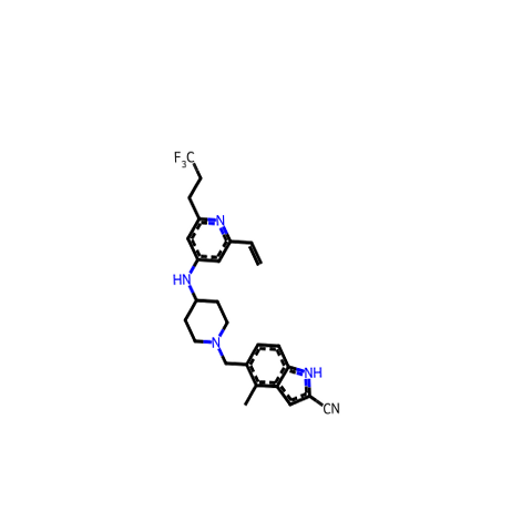 C=Cc1cc(NC2CCN(Cc3ccc4[nH]c(C#N)cc4c3C)CC2)cc(CCC(F)(F)F)n1